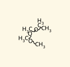 CCCOC(C)COC(C)COCC(C)C